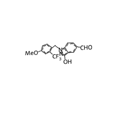 COc1ccc(Cn2nc(O)c3cc(C=O)ccc32)c(C(F)(F)F)c1